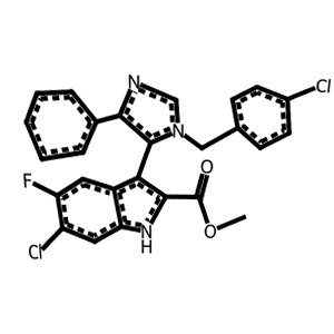 COC(=O)c1[nH]c2cc(Cl)c(F)cc2c1-c1c(-c2ccccc2)ncn1Cc1ccc(Cl)cc1